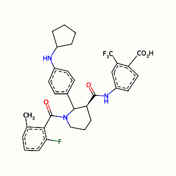 Cc1cccc(F)c1C(=O)N1CCC[C@H](C(=O)Nc2ccc(C(=O)O)c(C(F)(F)F)c2)C1c1ccc(NC2CCCC2)cc1